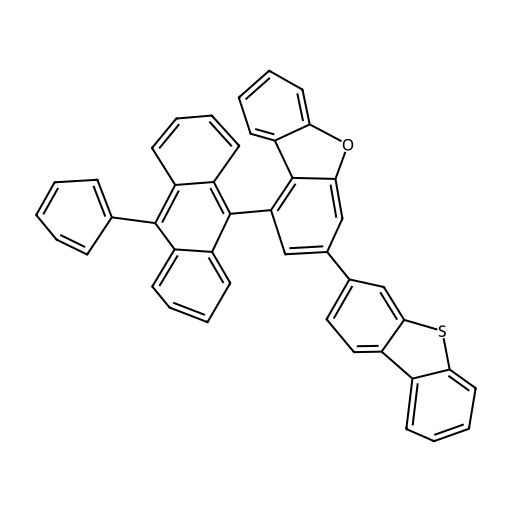 c1ccc(-c2c3ccccc3c(-c3cc(-c4ccc5c(c4)sc4ccccc45)cc4oc5ccccc5c34)c3ccccc23)cc1